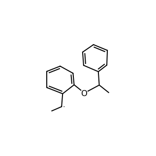 C[CH]c1ccccc1OC(C)c1ccccc1